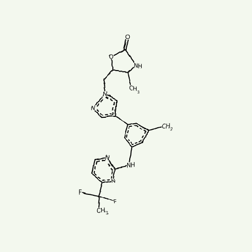 Cc1cc(Nc2nccc(C(C)(F)F)n2)cc(-c2cnn(CC3OC(=O)NC3C)c2)c1